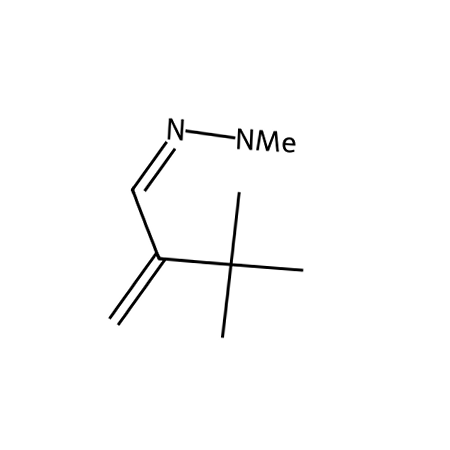 C=C(/C=N\NC)C(C)(C)C